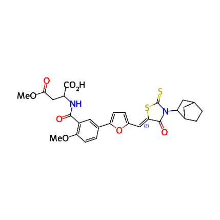 COC(=O)CC(NC(=O)c1cc(-c2ccc(/C=C3\SC(=S)N(C4CC5CCC4C5)C3=O)o2)ccc1OC)C(=O)O